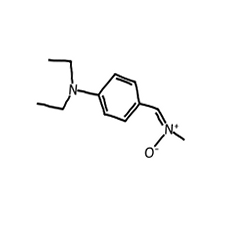 CCN(CC)c1ccc(C=[N+](C)[O-])cc1